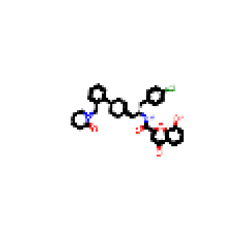 O=C(N[C@@H](C=C1CCC(c2ccccc2CN2CCCCC2=O)CC1)Cc1ccc(Cl)cc1)c1cc(=O)c2cccc(O)c2o1